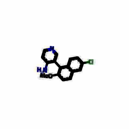 COc1ccc2cc(Cl)ccc2c1-c1cnccc1N